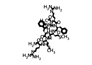 CSCC[C@H](NC(=O)[C@H](Cc1c[nH]c2ccccc12)NC(=O)[C@H](CCSC)NC(=O)[C@H](Cc1ccccc1)NC(=O)[C@H](CCCN=C(N)N)NC(C)=O)C(=O)N[C@@H](CCCN=C(N)N)C(N)=O